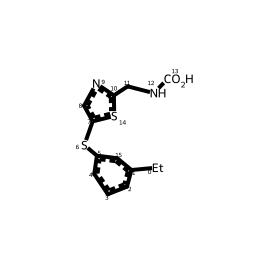 CCc1cccc(Sc2cnc(CNC(=O)O)s2)c1